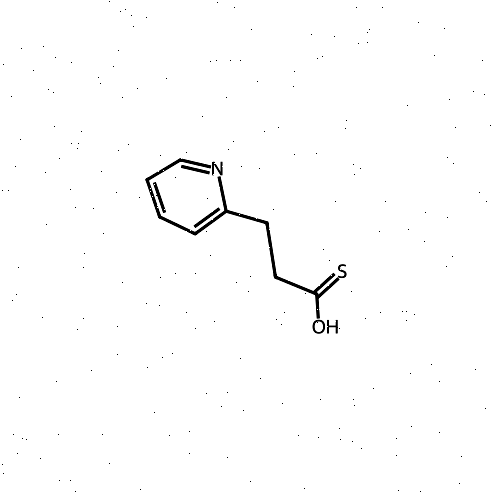 OC(=S)CCc1ccccn1